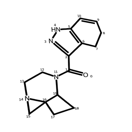 O=C(c1n[nH]c2c1CCC=C2)N1CCN2CC23CCC13